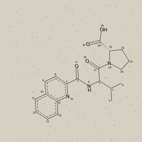 CC(C)C(NC(=O)c1ccc2ccccc2n1)C(=O)N1CCC[C@H]1C(=O)O